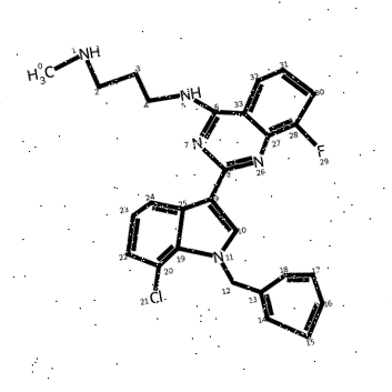 CNCCCNc1nc(-c2cn(Cc3ccccc3)c3c(Cl)cccc23)nc2c(F)cccc12